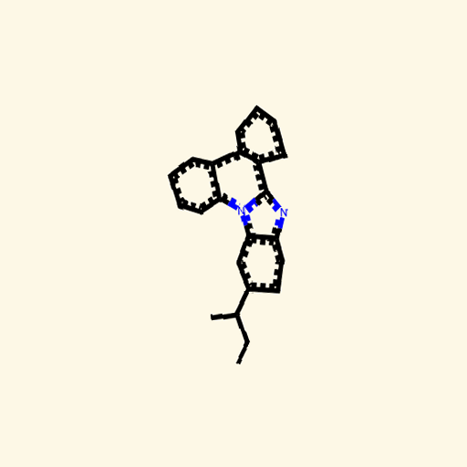 CCC(C)c1ccc2nc3c4ccccc4c4ccccc4n3c2c1